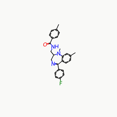 Cc1ccc(C(=O)NCC2CN=C(c3ccc(F)cc3)c3ccc(C)cc3N2C)cc1